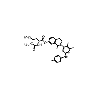 CSCCC(NC(=O)OC(C)(C)C)C(=O)Oc1ccc2c(c1)C(C)N(c1nc(Nc3ccc(F)cc3)nc(C)c1C)CC2